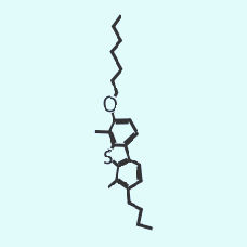 CCCCCCCOc1ccc2c(sc3c(C)c(CCCC)ccc32)c1C